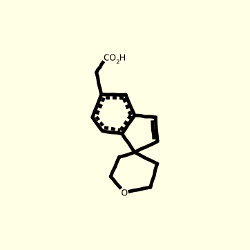 O=C(O)Cc1ccc2c(c1)C=CC21CCOCC1